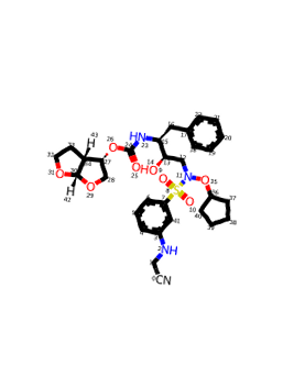 N#CCNc1cccc(S(=O)(=O)N(C[C@@H](O)[C@H](Cc2ccccc2)NC(=O)O[C@@H]2CO[C@@H]3OCC[C@@H]32)OC2CCCC2)c1